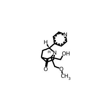 COCC1(CO)C(=O)C2CCN1[C@@H](c1ccncc1)C2